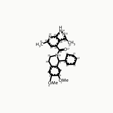 COc1cc2c(cc1OC)C(c1ccccc1)N(C(=O)c1cc(C)nc3[nH]nc(C)c13)CC2